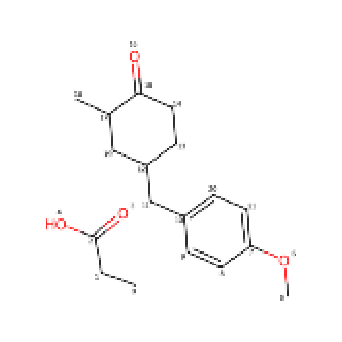 CCC(=O)O.COc1ccc(CC2CCC(=O)C(C)C2)cc1